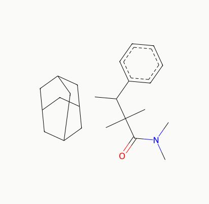 C1C2CC3CC1CC(C2)C3.CC(c1ccccc1)C(C)(C)C(=O)N(C)C